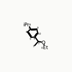 CCOC(C)c1ccc(C(C)C)cc1